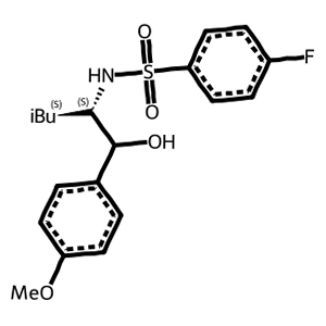 CC[C@H](C)[C@H](NS(=O)(=O)c1ccc(F)cc1)C(O)c1ccc(OC)cc1